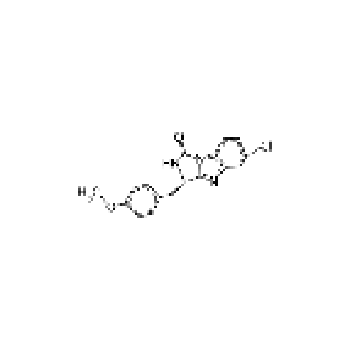 COc1ccc(C[C@H]2NC(=O)n3c2nc2cc(Cl)ccc23)cc1